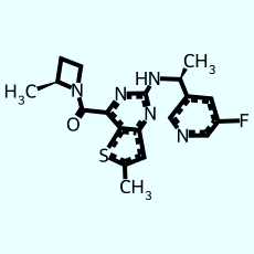 Cc1cc2nc(N[C@@H](C)c3cncc(F)c3)nc(C(=O)N3CC[C@@H]3C)c2s1